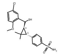 COc1ccc(Cl)cc1C(S)[C@H]1[C@H](c2ccc(S(N)(=O)=O)cc2)C1(C)C